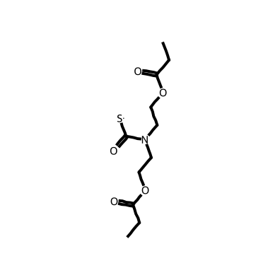 CCC(=O)OCCN(CCOC(=O)CC)C(=O)[S]